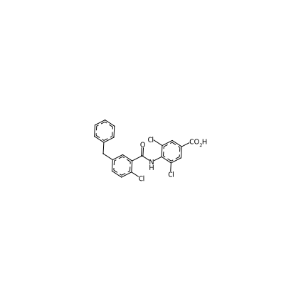 O=C(O)c1cc(Cl)c(NC(=O)c2cc(Cc3ccccc3)ccc2Cl)c(Cl)c1